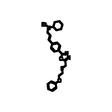 CCN(C/C=C/c1ccc(-c2nnc(CSCCOc3ccccc3)o2)cc1)C1CCCCC1